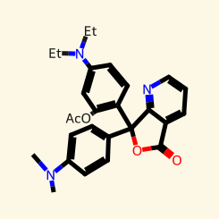 CCN(CC)c1ccc(C2(c3ccc(N(C)C)cc3)OC(=O)c3cccnc32)c(OC(C)=O)c1